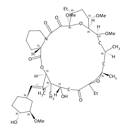 CC[C@@H]1C[C@H](OC)[C@@H]2O[C@@]1(OC)C(=O)C(=O)N1CCCC[C@H]1C(=O)O[C@H](/C(C)=C/[C@@H]1CC[C@@H](O)[C@H](OC)C1)[C@H](C)[C@@H](O)CC(=O)C1(CC)C[C@](C)(C[C@H](C)C[C@@H]2OC)O1